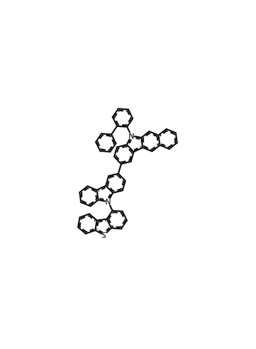 c1ccc(-c2ccccc2-n2c3ccc(-c4ccc5c(c4)c4ccccc4n5-c4cccc5sc6ccccc6c45)cc3c3cc4ccccc4cc32)cc1